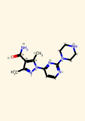 Cc1nn(-c2ccnc(N3CCNCC3)n2)c(C)c1C(N)=O